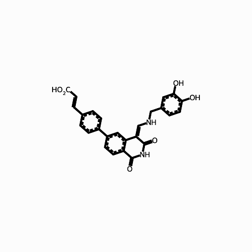 O=C(O)C=Cc1ccc(-c2ccc3c(c2)C(=CNCc2ccc(O)c(O)c2)C(=O)NC3=O)cc1